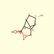 C[C@H]1CC2CC1C1COC(=O)C21